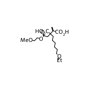 C=C(C(=O)O)C(CCCCCCOCC)(CC(=O)OCCOC)C(=O)O